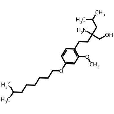 COc1cc(OCCCCCCC(C)C)ccc1CCC(N)(CO)CC(C)C